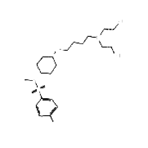 CN([C@H]1CC[C@H](OCCCCN(CCO)CCO)CC1)S(=O)(=O)c1ccc(C(F)(F)F)cc1